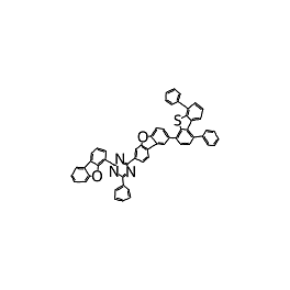 c1ccc(-c2nc(-c3ccc4c(c3)oc3ccc(-c5ccc(-c6ccccc6)c6c5sc5c(-c7ccccc7)cccc56)cc34)nc(-c3cccc4c3oc3ccccc34)n2)cc1